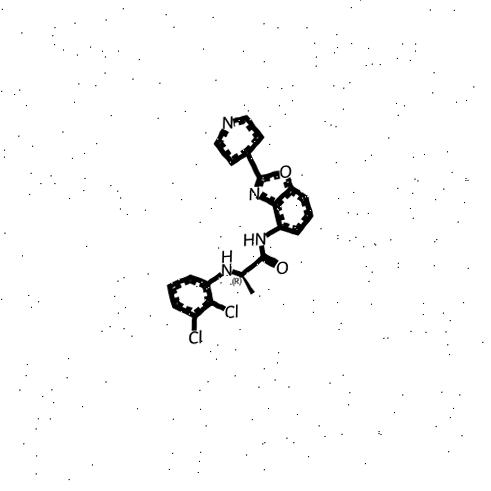 C[C@@H](Nc1cccc(Cl)c1Cl)C(=O)Nc1cccc2oc(-c3ccncc3)nc12